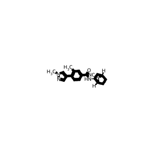 Cc1cc(C(=O)N[C@@H]2C[C@@H]3CC[C@H]2N3C#N)ccc1-c1cnn(C)c1